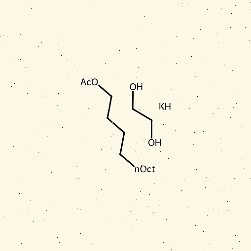 CCCCCCCCCCCCOC(C)=O.OCCO.[KH]